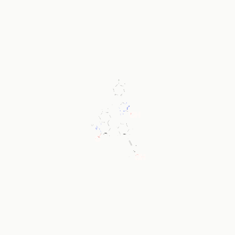 Cn1c(O)nc(-c2ccc(Cl)cc2)c1Cc1ccc2c(c1)c(-c1cccc(C#CC(C)(C)O)c1)cc(=O)n2C